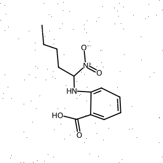 CCCCC(Nc1ccccc1C(=O)O)[N+](=O)[O-]